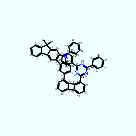 CC1(C)c2ccccc2-c2cc3c4cc(-c5cccc6c5-c5c(-c7nc(-c8ccccc8)nc(-c8ccccc8)n7)cccc5-6)ccc4n(-c4ccccc4)c3cc21